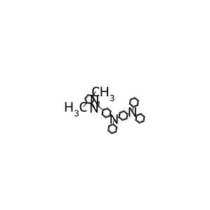 Cc1ccc(C)n2cc(-c3ccc(N(c4ccccc4)c4ccc(N(c5ccccc5)c5ccccc5)cc4)cc3)nc12